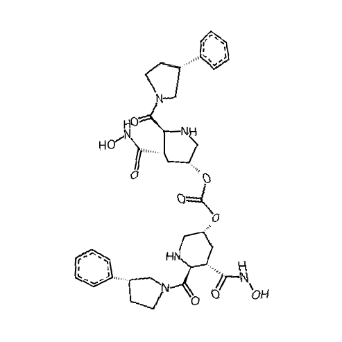 O=C(O[C@H]1CN[C@H](C(=O)N2CC[C@H](c3ccccc3)C2)[C@@H](C(=O)NO)C1)O[C@H]1CN[C@H](C(=O)N2CC[C@H](c3ccccc3)C2)[C@@H](C(=O)NO)C1